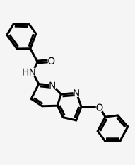 O=C(Nc1ccc2ccc(Oc3ccccc3)nc2n1)c1ccccc1